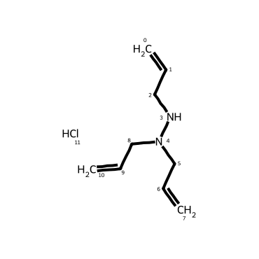 C=CCNN(CC=C)CC=C.Cl